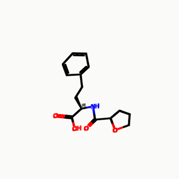 O=C(N[C@H](CCc1ccccc1)C(=O)O)C1CCCO1